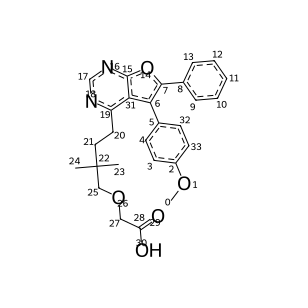 COc1ccc(-c2c(-c3ccccc3)oc3ncnc(CCC(C)(C)COCC(=O)O)c23)cc1